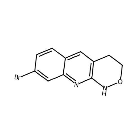 Brc1ccc2cc3c(nc2c1)NOCC3